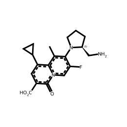 Cc1c(N2CCC[C@H]2CN)c(F)cn2c(=O)c(C(=O)O)cc(C3CC3)c12